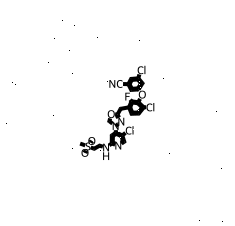 CS(=O)(=O)CCNc1cc(N2COC(Cc3ccc(Cl)c(Oc4cc(Cl)cc(C#N)c4)c3F)=N2)c(Cl)cn1